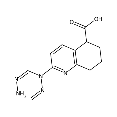 C=NN(/C=N\N)c1ccc2c(n1)CCCC2C(=O)O